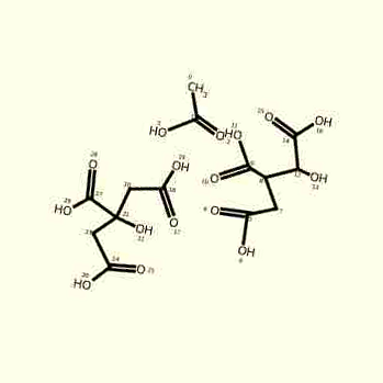 CC(=O)O.O=C(O)CC(C(=O)O)C(O)C(=O)O.O=C(O)CC(O)(CC(=O)O)C(=O)O